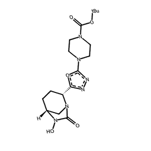 CC(C)(C)OC(=O)N1CCN(c2nnc([C@H]3CC[C@@H]4CN3C(=O)N4O)o2)CC1